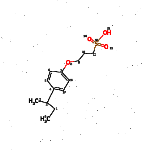 CCC(C)c1ccc(OCCCS(=O)(=O)O)cc1